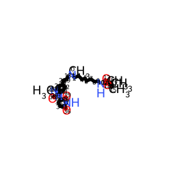 CN(CCCCCCCCNC(=O)OC(C)(C)C)CCCc1ccc2c(c1)n(C)c(=O)n2C1CCC(=O)NC1=O